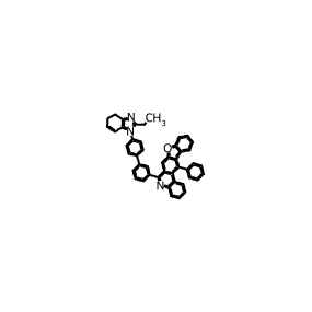 CCc1nc2c(n1-c1ccc(-c3cccc(-c4nc5ccccc5c5c(-c6ccccc6)c6c(cc45)oc4ccccc46)c3)cc1)C=CCC2